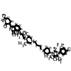 C[C@@H]1CN(CCCC[C@H]2CC[C@H](N3C(=S)N(c4ccc(C#N)c(C(F)(F)F)c4)C(=O)C3(C)C)CC2)C[C@H](C)N1CC(=O)Nc1cccc2c(C3CCC(=O)NC3=O)nn(C)c12